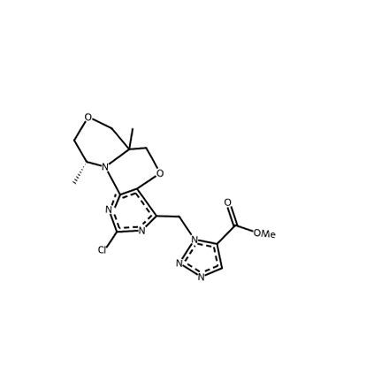 COC(=O)c1cnnn1Cc1nc(Cl)nc2c1OCC1(C)COC[C@@H](C)N21